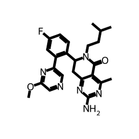 COc1cncc(-c2cc(F)ccc2C2Cc3nc(N)nc(C)c3C(=O)N2CCC(C)C)n1